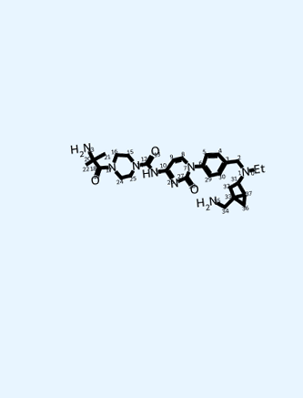 CCN(Cc1ccc(-n2ccc(NC(=O)N3CCN(C(=O)C(C)(C)N)CC3)nc2=O)cc1)C1CC2(CN)CC12